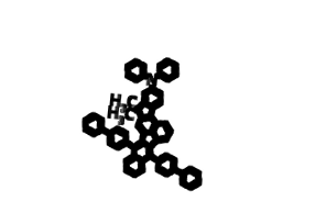 CC1(C)c2cc(N(c3ccccc3)c3ccccc3)ccc2-c2c1cc1c3c(cccc23)-c2c-1c(-c1ccc(-c3ccccc3)cc1)c1ccccc1c2-c1ccc(-c2ccccc2)cc1